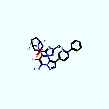 CCc1c([C@H]2C[C@H]3CC[C@@H](C2)N3C(=O)c2nc(C)n[nH]2)nc2c(-c3ccc(-c4ccccc4)nc3)cnn2c1N